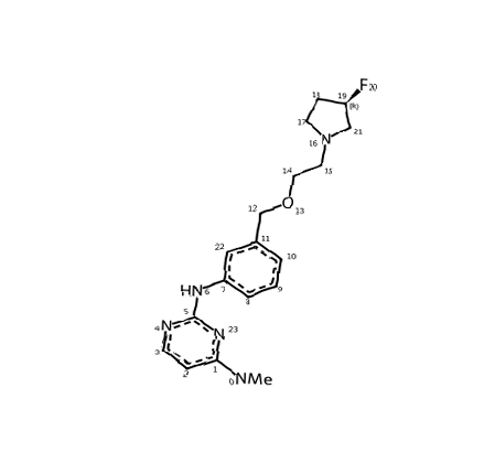 CNc1ccnc(Nc2cccc(COCCN3CC[C@@H](F)C3)c2)n1